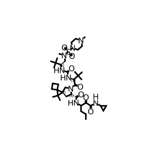 CCCC(NC(=O)[C@@H]1C[C@@]2(CN1C(=O)[C@@H](NC(=O)N[C@H](CN(C)S(=O)(=O)N1CCN(C)CC1)C(C)(C)C)C(C)(C)C)C(C)(C)C21CCC1)C(=O)C(=O)NC1CC1